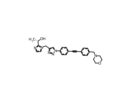 C[C@H](O)c1nccn1Cc1cn(-c2ccc(C#Cc3ccc(CN4CCOCC4)cc3)cc2)nn1